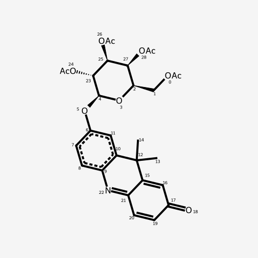 CC(=O)OC[C@H]1O[C@@H](Oc2ccc3c(c2)C(C)(C)C2=CC(=O)C=CC2=N3)[C@H](OC(C)=O)[C@@H](OC(C)=O)[C@H]1OC(C)=O